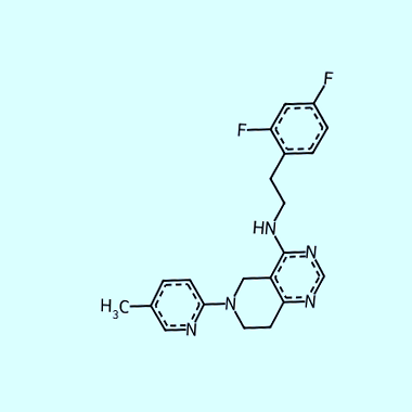 Cc1ccc(N2CCc3ncnc(NCCc4ccc(F)cc4F)c3C2)nc1